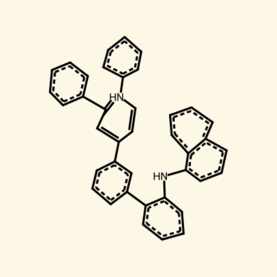 C=C(/C=C(\C=C/Nc1ccccc1)c1cccc(-c2ccccc2Nc2cccc3ccccc23)c1)c1ccccc1